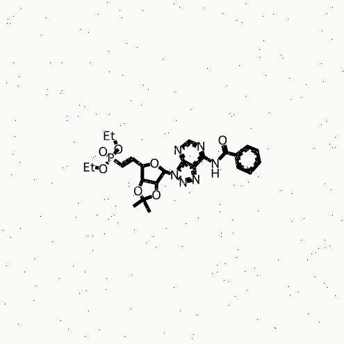 CCOP(=O)(/C=C/C1OC(n2nnc3c(NC(=O)c4ccccc4)ncnc32)C2OC(C)(C)OC12)OCC